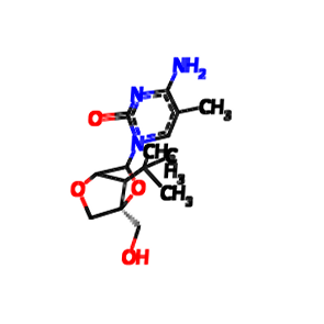 Cc1cn(C2O[C@@]3(CO)COC2C3C(C)(C)C)c(=O)nc1N